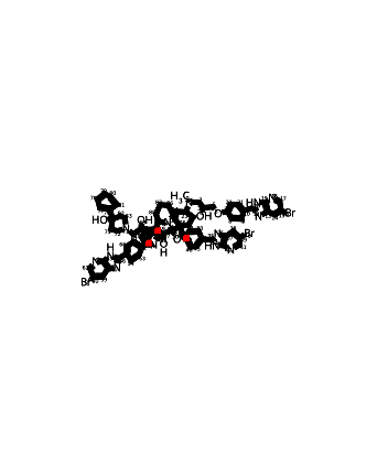 CN(CC(O)COc1ccc(-c2nc3cc(Br)cnc3[nH]2)cc1)C1CCC(C#N)(C(Oc2ccc(-c3nc4cc(Br)cnc4[nH]3)cc2)(C(O)CC(Oc2ccc(-c3nc4cc(Br)cnc4[nH]3)cc2)C(O)CN2CCC(O)(c3ccccc3)CC2)N2CCCCC2c2cccnc2)CC1